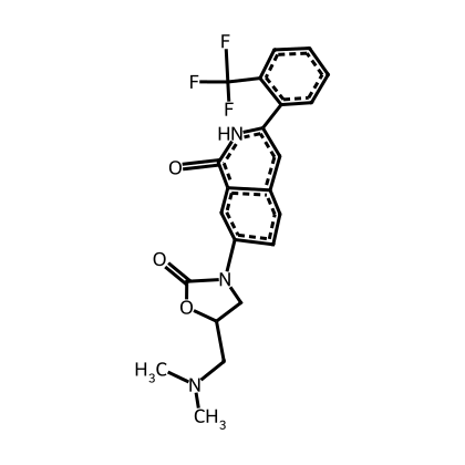 CN(C)CC1CN(c2ccc3cc(-c4ccccc4C(F)(F)F)[nH]c(=O)c3c2)C(=O)O1